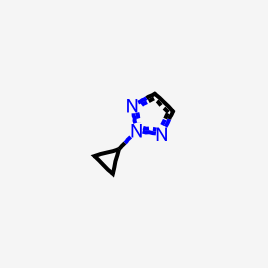 c1cnn(C2CC2)n1